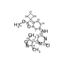 COC(=O)C1(c2ccc(Nc3cc(-c4c(C)noc4C)nc(Cl)n3)cc2)CCC1